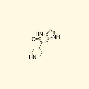 O=c1[nH]c2cc[nH]c2cc1C1CCNCC1